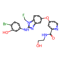 O=C(NCCO)c1cc(Oc2ccc3c(c2)nc(Nc2ccc(Br)c(O)c2)n3CF)ccn1